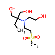 CCC(CO)(CO)N(CCO)CCS(C)(=O)=O